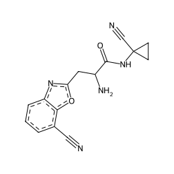 N#Cc1cccc2nc(CC(N)C(=O)NC3(C#N)CC3)oc12